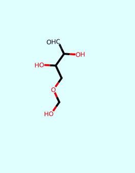 O=CC(O)C(O)COCO